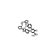 COC[C@H]1CCCN1c1nc2ccc(-n3cc(C(=O)O)c(=O)cc3-c3ccc(N4CCCC4)c(C)c3)cc2o1